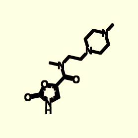 CN1CCN(CCN(C)C(=O)c2c[nH]c(=O)o2)CC1